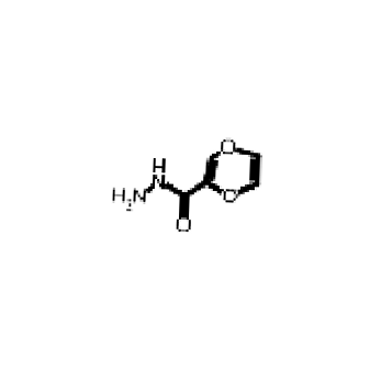 NNC(=O)C1=COC=CO1